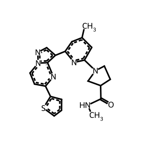 CNC(=O)C1CCN(c2cc(C)cc(-c3cnn4ccc(-c5cccs5)nc34)n2)C1